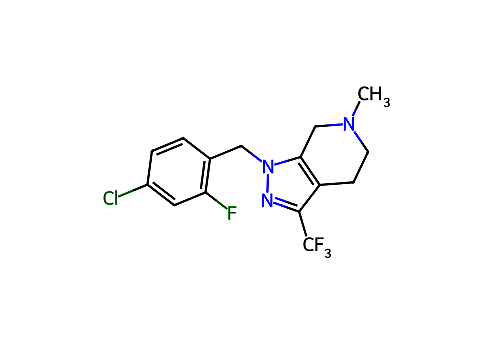 CN1CCc2c(C(F)(F)F)nn(Cc3ccc(Cl)cc3F)c2C1